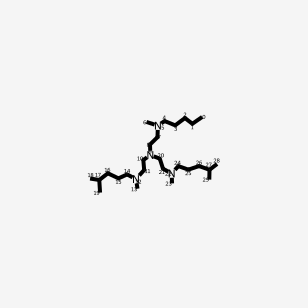 CCCCCN(C)CCN(CCN(C)CCCC(C)C)CCN(C)CCCC(C)C